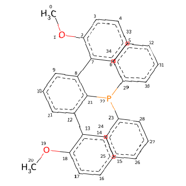 COc1ccccc1-c1cccc(-c2ccccc2OC)c1P(c1ccccc1)c1ccccc1